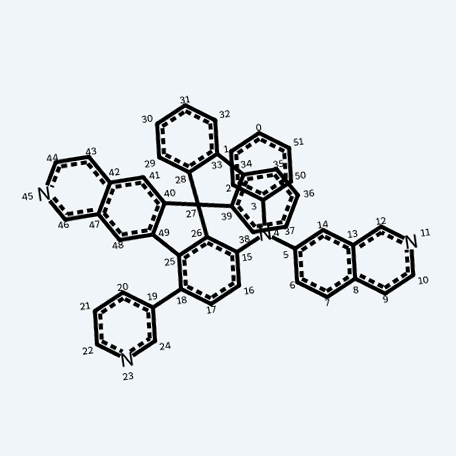 c1ccc(N(c2ccc3ccncc3c2)c2ccc(-c3cccnc3)c3c2C2(c4ccccc4-c4ccccc42)c2cc4ccncc4cc2-3)cc1